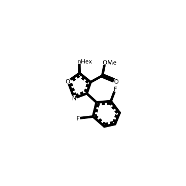 CCCCCCc1onc(-c2c(F)cccc2F)c1C(=O)OC